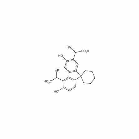 CCCC(C(=O)O)c1cc(C2(c3ccc(O)c(C(CCC)C(=O)O)c3)CCCCC2)ccc1O